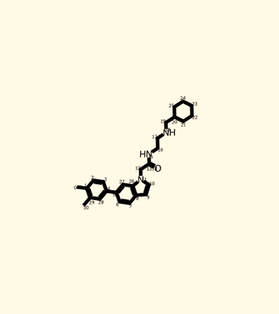 Cc1ccc(-c2ccc3ccn(CC(=O)NCCNCC4CCCCC4)c3c2)cc1C